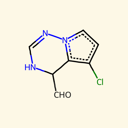 O=CC1NC=Nn2ccc(Cl)c21